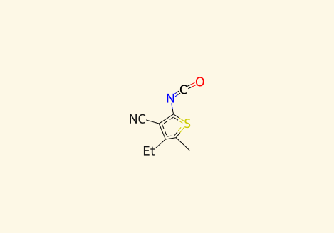 CCc1c(C)sc(N=C=O)c1C#N